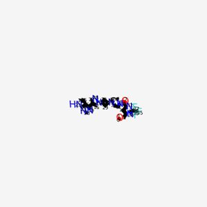 COCc1cc(C(=O)N2CCN(C3CC(n4cc(-c5ncnc6[nH]ccc56)cn4)C3)CC2)nc(C(F)(F)F)n1